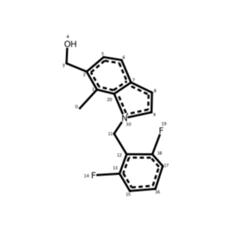 Cc1c(CO)ccc2ccn(Cc3c(F)cccc3F)c12